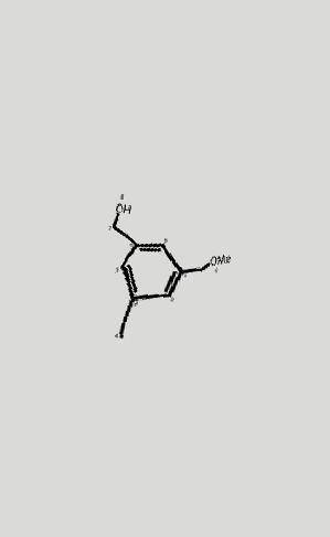 COc1cc(C)cc(CO)c1